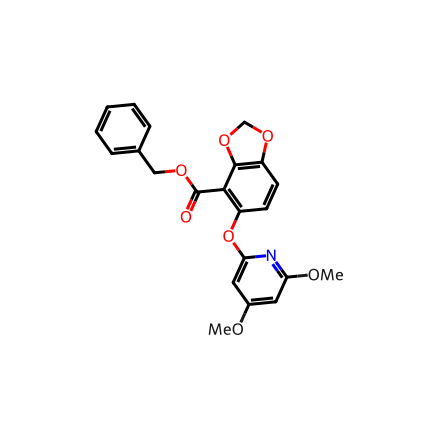 COc1cc(OC)nc(Oc2ccc3c(c2C(=O)OCc2ccccc2)OCO3)c1